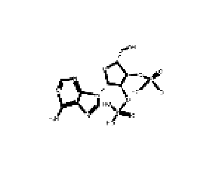 Nc1ncnc2c1ncn2[C@@H]1O[C@H](CO)[C@@H](OP(=O)(O)O)[C@H]1OP(=O)(O)O